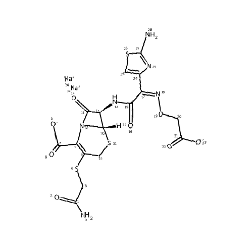 NC(=O)CSC1=C(C(=O)[O-])N2C(=O)[C@@H](NC(=O)/C(=N\OCC(=O)[O-])c3csc(N)n3)[C@@H]2SC1.[Na+].[Na+]